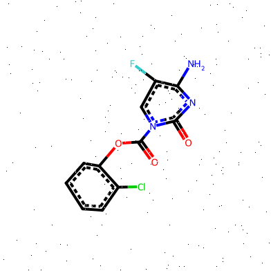 Nc1nc(=O)n(C(=O)Oc2ccccc2Cl)cc1F